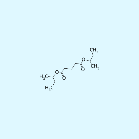 CCC(C)OC(=O)CCCC(=O)OC(C)CC